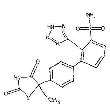 CC1(c2ccc(-c3cccc(S(N)(=O)=O)c3-c3nn[nH]n3)cc2)SC(=O)NC1=O